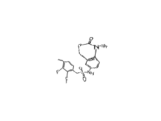 CCCN1C(=O)OCc2cc(NS(=O)(=O)Cc3ccc(C)c(F)c3F)ccc21